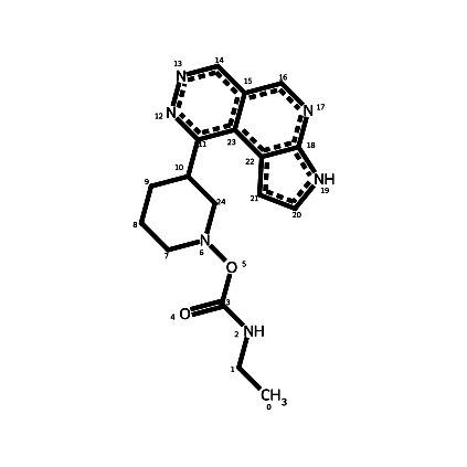 CCNC(=O)ON1CCCC(c2nncc3cnc4[nH]ccc4c23)C1